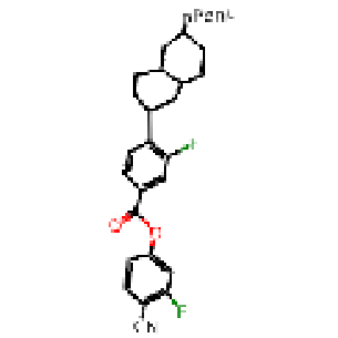 CCCCCC1CCC2CC(c3ccc(C(=O)Oc4ccc(C#N)c(F)c4)cc3F)CCC2C1